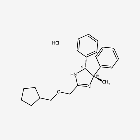 C[C@@]1(c2ccccc2)N=C(COCC2CCCC2)N[C@@H]1c1ccccc1.Cl